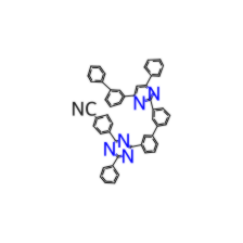 N#Cc1ccc(-c2nc(-c3ccccc3)nc(-c3cccc(-c4cccc(-c5nc(-c6ccccc6)cc(-c6cccc(-c7ccccc7)c6)n5)c4)c3)n2)cc1